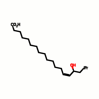 CC(C)C[C@H](O)/C=C\CCCCCCCCCCCCC(=O)O